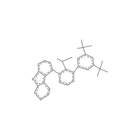 CC(C)c1c(-c2cc(C(C)(C)C)cc(C(C)(C)C)c2)cccc1-c1cccc2oc3ccccc3c12